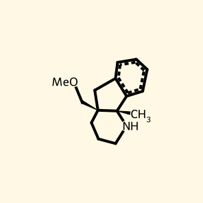 COC[C@]12CCCN[C@@]1(C)c1ccccc1C2